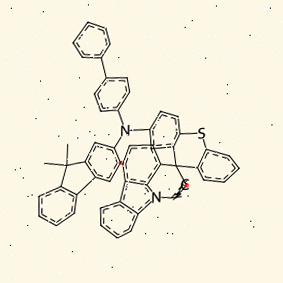 CC1(C)c2ccccc2-c2ccc(N(c3ccc(-c4ccccc4)cc3)c3ccc4c(c3)C3(c5ccccc5S4)c4ccccc4-n4c5ccccc5c5cccc3c54)cc21